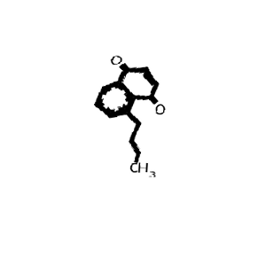 CCCCc1cccc2c1C(=O)C=CC2=O